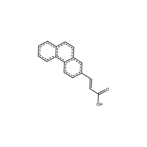 O=C(O)C=Cc1ccc2c(ccc3ccccc32)c1